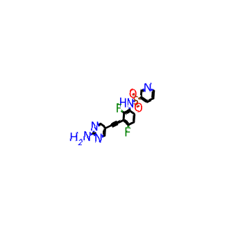 Nc1ncc(C#Cc2c(F)ccc(NS(=O)(=O)c3cccnc3)c2F)cn1